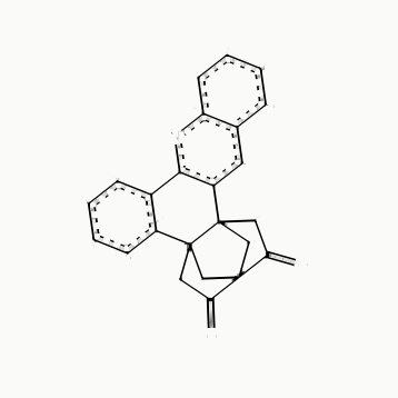 O=C1CC23CC14CC2(CC4=O)c1cc2ccccc2nc1-c1ccccc13